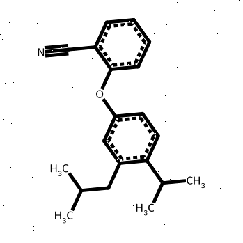 CC(C)Cc1cc(Oc2ccccc2C#N)ccc1C(C)C